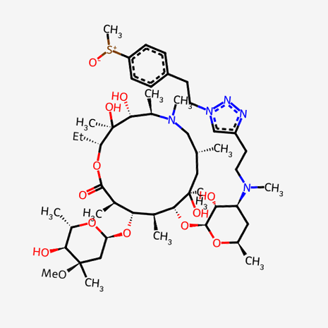 CC[C@H]1OC(=O)[C@H](C)[C@@H](O[C@H]2C[C@@](C)(OC)[C@@H](O)[C@H](C)O2)[C@H](C)[C@@H](O[C@@H]2O[C@H](C)C[C@H](N(C)CCc3cn(CCc4ccc([S+](C)[O-])cc4)nn3)[C@H]2O)[C@](C)(O)C[C@@H](C)CN(C)[C@H](C)[C@@H](O)[C@]1(C)O